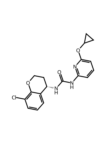 O=C(Nc1cccc(OC2CC2)n1)N[C@H]1CCOc2c(Cl)cccc21